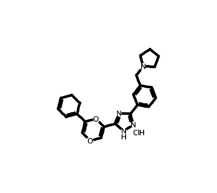 C1=CCCC(C2=COC=C(c3nc(-c4cccc(CN5CCCC5)c4)n[nH]3)O2)=C1.Cl